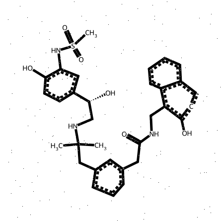 CC(C)(Cc1cccc(CC(=O)NCc2c(O)ccc3ccccc23)c1)NC[C@@H](O)c1ccc(O)c(NS(C)(=O)=O)c1